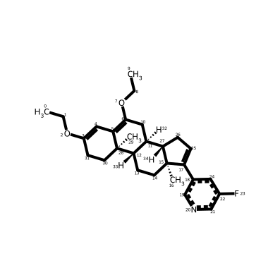 CCOC1=CC2=C(OCC)C[C@@H]3[C@H](CC[C@]4(C)C(c5cncc(F)c5)=CC[C@@H]34)[C@@]2(C)CC1